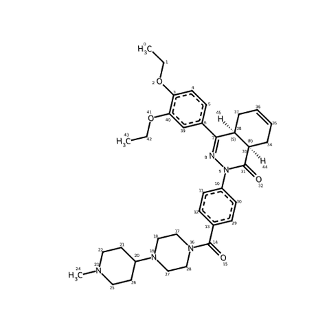 CCOc1ccc(C2=NN(c3ccc(C(=O)N4CCN(C5CCN(C)CC5)CC4)cc3)C(=O)[C@@H]3CC=CC[C@H]23)cc1OCC